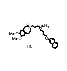 COc1cc2c(cc1OC)CC(=O)N(CCCN(C)CCCCOc1ccc3ccccc3c1)CC2.Cl